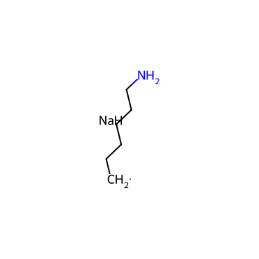 [CH2]CCCCCN.[NaH]